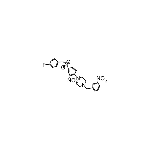 O=[N+]([O-])c1cccc(CN2CCN(c3ccc(S(=O)(=O)Cc4ccc(F)cc4)cc3[N+](=O)[O-])CC2)c1